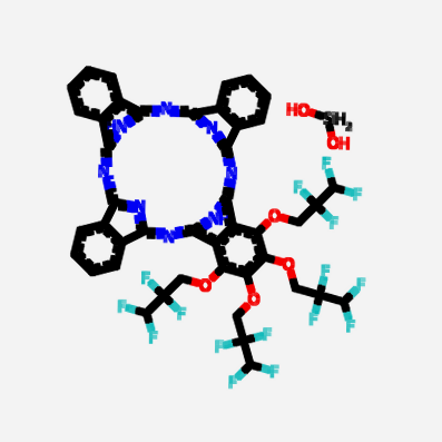 FC(F)C(F)(F)COc1c(OCC(F)(F)C(F)F)c(OCC(F)(F)C(F)F)c2c3nc4nc(nc5[nH]c(nc6nc(nc([nH]3)c2c1OCC(F)(F)C(F)F)-c1ccccc1-6)c1ccccc51)-c1ccccc1-4.O[SiH2]O